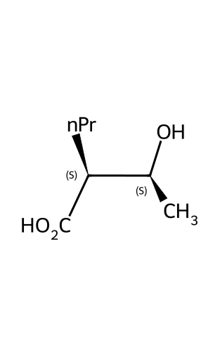 CCC[C@H](C(=O)O)[C@H](C)O